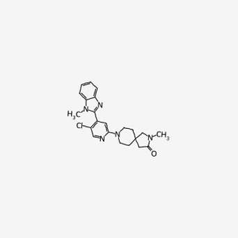 CN1CC2(CCN(c3cc(-c4nc5ccccc5n4C)c(Cl)cn3)CC2)CC1=O